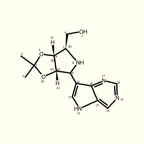 CC1(C)O[C@@H]2[C@@H](CO)NC(c3c[nH]c4cncnc34)[C@@H]2O1